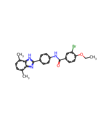 CCOc1ccc(C(=O)Nc2ccc(-c3nc4c(C)ccc(C)c4[nH]3)cc2)cc1Br